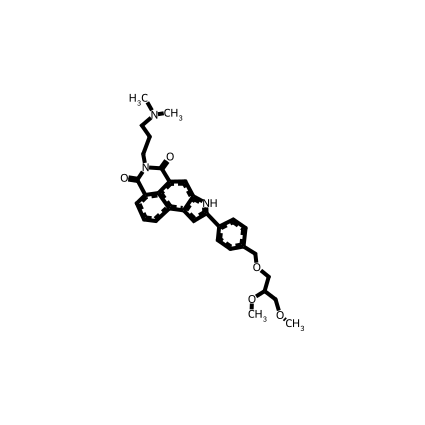 COCC(COCc1ccc(-c2cc3c(cc4c5c(cccc53)C(=O)N(CCCN(C)C)C4=O)[nH]2)cc1)OC